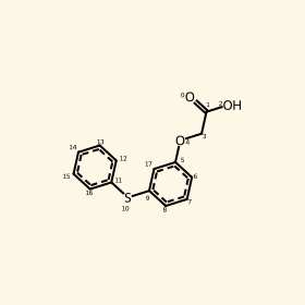 O=C(O)COc1cccc(Sc2ccccc2)c1